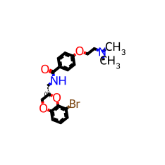 CN(C)CCOc1ccc(C(=O)NC[C@H]2COc3cccc(Br)c3O2)cc1